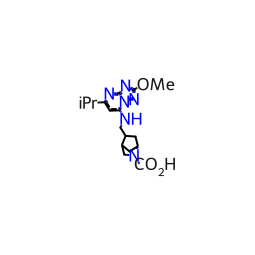 COc1nc2nc(C(C)C)cc(NCC3CC4CC3CN4C(=O)O)n2n1